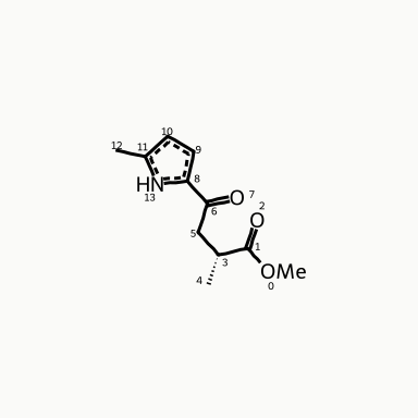 COC(=O)[C@H](C)CC(=O)c1ccc(C)[nH]1